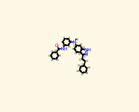 CN(c1cccc(NC(=O)c2ccccc2)c1)c1ccc2c(C=Cc3ccccc3)n[nH]c2c1